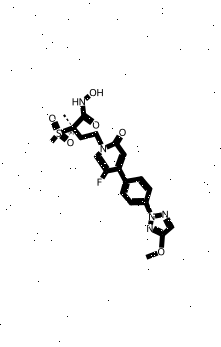 COc1cnn(-c2ccc(-c3cc(=O)n(CC[C@](C)(C(=O)NO)S(C)(=O)=O)cc3F)cc2)n1